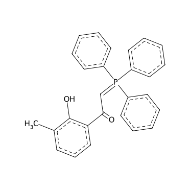 Cc1cccc(C(=O)C=P(c2ccccc2)(c2ccccc2)c2ccccc2)c1O